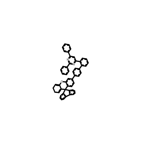 C1=C2Oc3cc(-c4ccc(-c5ccccc5-c5cc(-c6ccccc6)nc(-c6ccccc6)n5)cc4)ccc3C3(C2=CCC1)c1ccccc1-c1ccccc13